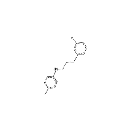 [CH2]c1ccc(NCCCc2cccc(F)c2)cc1